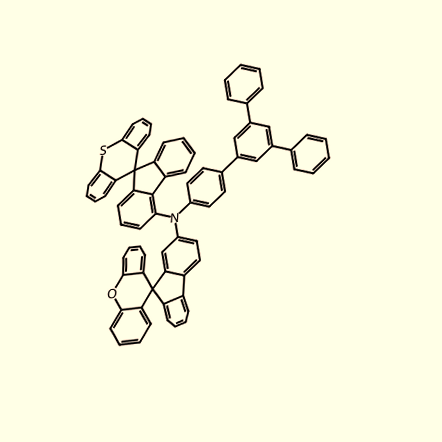 c1ccc(-c2cc(-c3ccccc3)cc(-c3ccc(N(c4ccc5c(c4)C4(c6ccccc6Oc6ccccc64)c4ccccc4-5)c4cccc5c4-c4ccccc4C54c5ccccc5Sc5ccccc54)cc3)c2)cc1